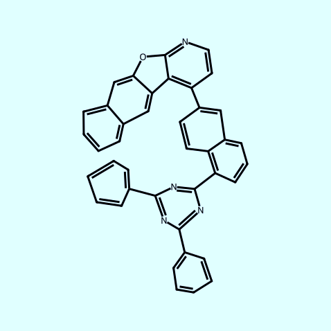 c1ccc(-c2nc(-c3ccccc3)nc(-c3cccc4cc(-c5ccnc6oc7cc8ccccc8cc7c56)ccc34)n2)cc1